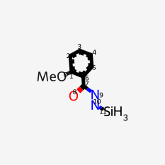 COc1ccccc1C(=O)N=N[SiH3]